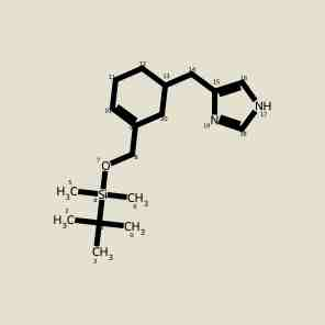 CC(C)(C)[Si](C)(C)OCC1=CCCC(Cc2c[nH]cn2)C1